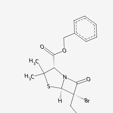 CC1(C)S[C@H]2N(C(=O)[C@@]2(Br)CO)[C@H]1C(=O)OCc1ccccc1